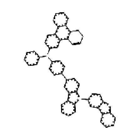 C1=Cc2c(c3ccccc3c3ccc(N(c4ccccc4)c4ccc(-c5ccc6c(c5)c5ccccc5n6-c5ccc6sc7ccccc7c6c5)cc4)cc23)CC1